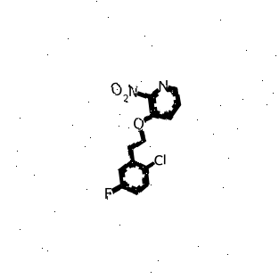 O=[N+]([O-])c1ncccc1OCCc1cc(F)ccc1Cl